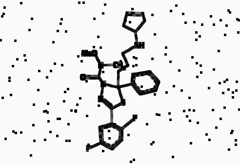 CON(C)C(=O)N1N=C(c2cc(F)ccc2F)SC1(CCCNC1CC=CC1)c1ccccc1